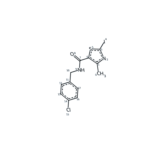 Cc1nc(I)sc1C(=O)NCc1ccc(Cl)cc1